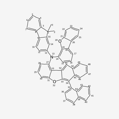 CC1(C)c2ccccc2-c2ccc(N(c3cccc4c3oc3ccccc34)c3cccc4oc5c(-c6cccc7ccccc67)c6ccccc6cc5c34)cc21